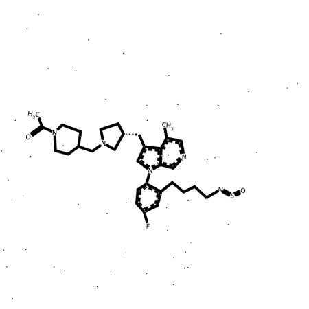 CC(=O)N1CCC(CN2CC[C@H](Cc3cn(-c4ccc(F)cc4CCCCN=S=O)c4cncc(C)c34)C2)CC1